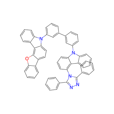 c1ccc(-c2nnc(-c3ccccc3)n2-c2cccc3c2c2ccccc2n3-c2cccc(-c3cccc(-n4c5ccccc5c5c6oc7ccccc7c6ccc54)c3)c2)cc1